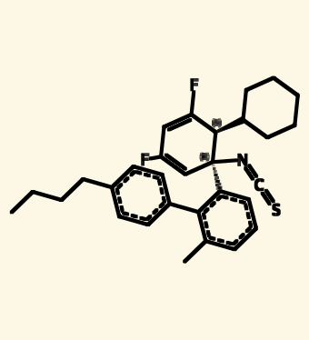 CCCCc1ccc(-c2c(C)cccc2[C@]2(N=C=S)C=C(F)C=C(F)[C@H]2C2CCCCC2)cc1